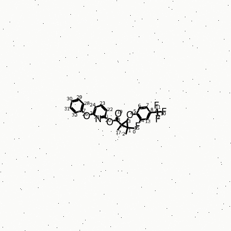 CC1(C)C(Oc2ccc(C(F)(F)F)cc2F)C1(C)C(=O)Oc1cccc(Oc2ccccc2)n1